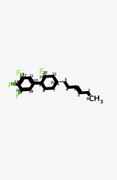 CCC=CCC[C@@H]1CC[C](c2cc(F)c(F)c(F)c2)C(F)C1